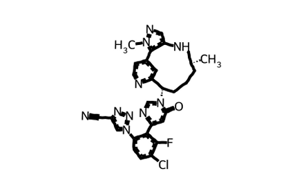 C[C@@H]1CCC[C@H](n2cnc(-c3c(-n4cc(C#N)nn4)ccc(Cl)c3F)cc2=O)c2cc(ccn2)-c2c(cnn2C)NC1